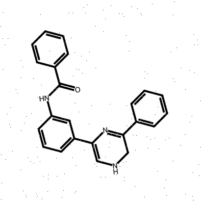 O=C(Nc1cccc(C2=CNCC(c3ccccc3)=N2)c1)c1ccccc1